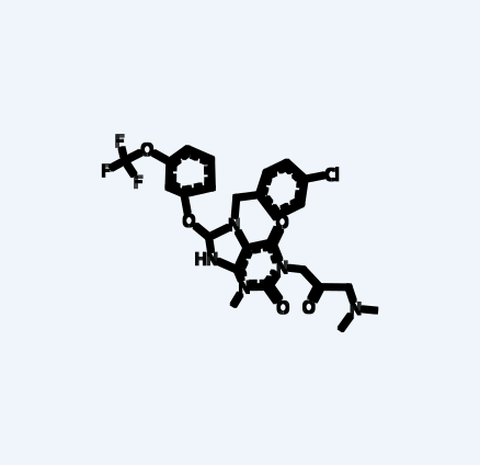 CN(C)CC(=O)Cn1c(=O)c2c(n(C)c1=O)NC(Oc1cccc(OC(F)(F)F)c1)N2Cc1ccc(Cl)cc1